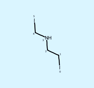 ICCNCI